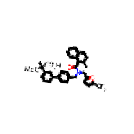 COC(C)(C(=O)O)c1cccc(-c2ccc(CN(Cc3ccc(C(F)(F)F)o3)C(=O)c3c(C)ccc4ccccc34)cc2)c1